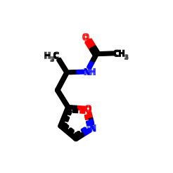 CC(=O)NC(C)Cc1ccno1